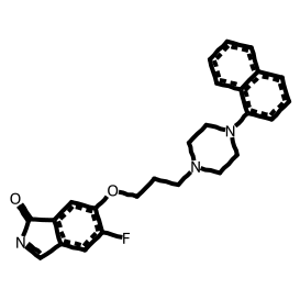 O=C1N=Cc2cc(F)c(OCCCN3CCN(c4cccc5ccccc45)CC3)cc21